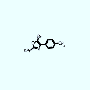 [CH2][CH]Cc1nc(-c2ccc(C(F)(F)F)cc2)c(Br)o1